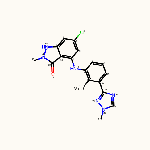 COc1c(Nc2cc(Cl)cc3[nH]n(C)c(=O)c23)cccc1-c1ncn(C)n1